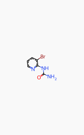 NC(=O)Nc1ncccc1Br